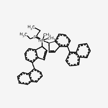 CC[Si](CC)=[Hf]([CH3])([CH3])([CH]1C=Cc2c(-c3cccc4ccccc34)cccc21)[CH]1C=Cc2c(-c3cccc4ccccc34)cccc21